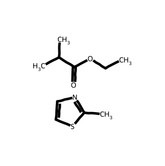 CCOC(=O)C(C)C.Cc1nccs1